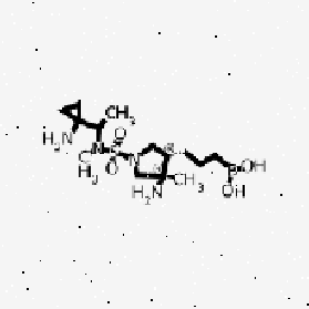 CC(N(C)S(=O)(=O)N1C[C@H](CCCB(O)O)[C@@](C)(N)C1)C1(N)CC1